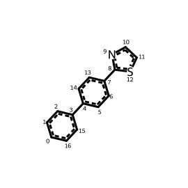 c1ccc(-c2ccc(-c3nccs3)cc2)cc1